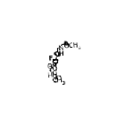 CC(=O)NC[C@H]1CN(c2ccc(-c3ccc(CNCc4ccc(C)o4)cc3)c(F)c2)C(=O)O1